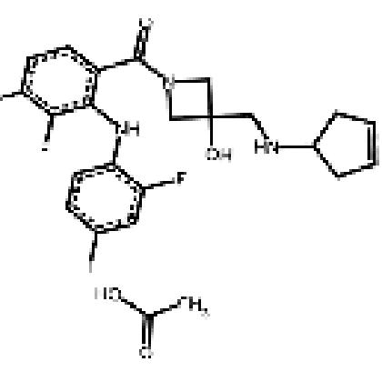 CC(=O)O.O=C(c1ccc(F)c(F)c1Nc1ccc(I)cc1F)N1CC(O)(CNC2CC=CC2)C1